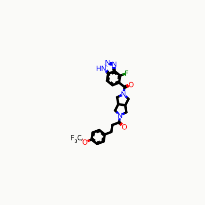 O=C(CCc1ccc(OC(F)(F)F)cc1)N1CC2CN(C(=O)c3ccc4[nH]nnc4c3F)CC2C1